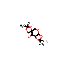 CC1(C)OC2OCC3(COC(C)(C)O3)C(=O)C2O1